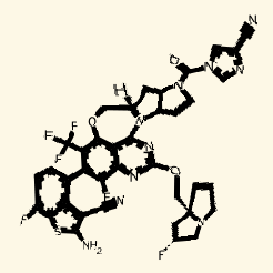 N#Cc1cn(C(=O)N2CCC3C2C[C@H]2COc4c(C(F)(F)F)c(-c5ccc(F)c6sc(N)c(C#N)c56)c(F)c5nc(OC[C@@]67CCCN6C[C@H](F)C7)nc(c45)N32)cn1